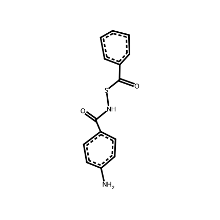 Nc1ccc(C(=O)NSC(=O)c2ccccc2)cc1